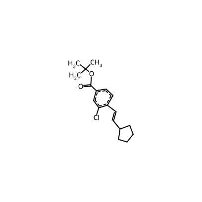 CC(C)(C)OC(=O)c1ccc(C=CC2CCCC2)c(Cl)c1